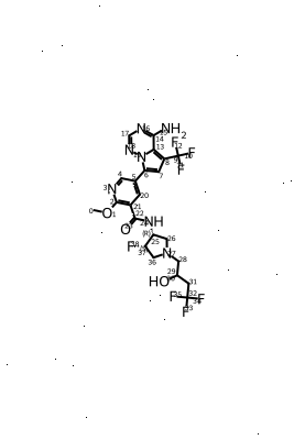 COc1ncc(-c2cc(C(F)(F)F)c3c(N)ncnn23)cc1C(=O)N[C@@H]1CN(CC(O)CC(F)(F)F)C[C@@H]1F